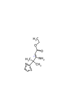 CCOC(=O)/C=C(\N)C(C)(C)c1nccs1